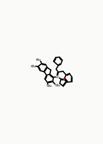 CC(C)(C)c1cc2c(cc1C(C)(C)C)-c1cc(C(C)(C)C)c(C(C)(C)C)[c]([Zr]([C]3=CC=CC3)=[C](Cc3ccccc3)Cc3ccccc3)c1C2